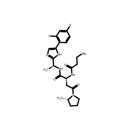 C[C@H](NC(=O)[C@H](CC(=O)N1CCC[C@@H]1C)NC(=O)CCC(C)(C)C)c1ncc(-c2ccc(F)cc2F)[nH]1